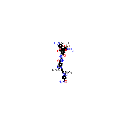 CNc1nc2cc(C(N)=O)ccc2n1CCCCn1c(NC)nc2cc(C(=O)NCCNC(=O)c3ccc4c(c3)C(=O)OC43c4ccc(N)c(S)c4Oc4c3ccc(N)c4S(=O)(=O)O)ccc21